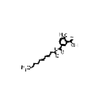 CCCCCCCCCC(=O)OC(=O)c1ccc(C)c(C(=O)O)c1